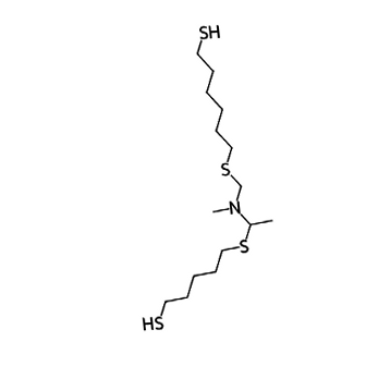 CC(SCCCCCS)N(C)CSCCCCCCS